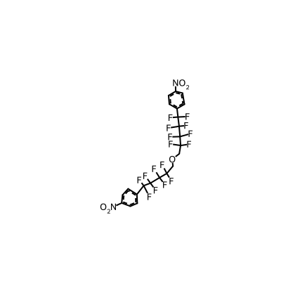 O=[N+]([O-])c1ccc(C(F)(F)C(F)(F)C(F)(F)C(F)(F)COCC(F)(F)C(F)(F)C(F)(F)C(F)(F)c2ccc([N+](=O)[O-])cc2)cc1